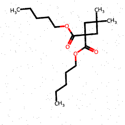 CCCCCOC(=O)C1(C(=O)OCCCCC)CC(C)(C)C1